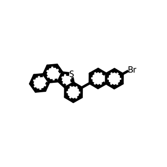 Brc1ccc2cc(-c3cccc4c3sc3ccc5ccccc5c34)ccc2c1